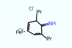 CC(C)C1=CC=CC(C(C)C)C1=N.[Cl-].[Cl-].[Fe+2]